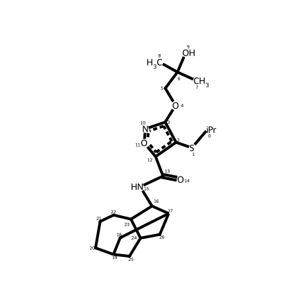 CC(C)Sc1c(OCC(C)(C)O)noc1C(=O)NC1C2CC3CCCC1C(C3)C2